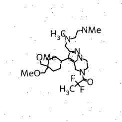 CNCCN(C)Cc1nn2c(c1C1CCC(COC)(COC)CC1)CN(C(=O)C(C)(F)F)CC2